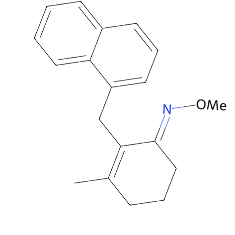 CON=C1CCCC(C)=C1Cc1cccc2ccccc12